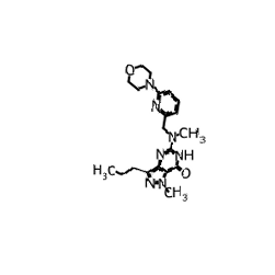 CCCc1nn(C)c2c(=O)[nH]c(N(C)Cc3cccc(N4CCOCC4)n3)nc12